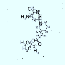 CC(C)(C)OC(=O)N1CC2(CCCN(c3nnc(Cl)c(N)n3)C2)C1